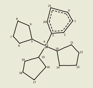 c1ccc([Si](C2CCCC2)(C2CCCC2)C2CCCC2)cc1